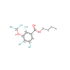 CCCCOC(=O)c1cc(F)c(F)c(OC(F)F)c1F